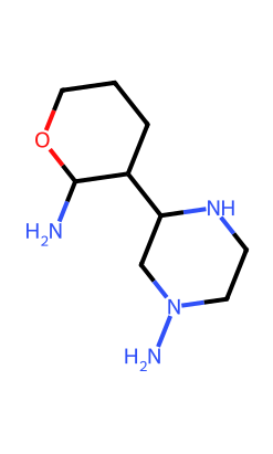 NC1OCCCC1C1CN(N)CCN1